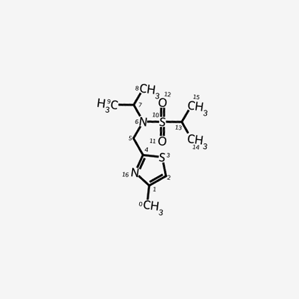 Cc1csc(CN(C(C)C)S(=O)(=O)C(C)C)n1